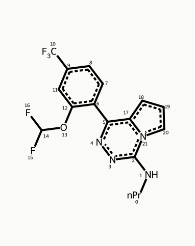 CCCNc1nnc(-c2ccc(C(F)(F)F)cc2OC(F)F)c2cccn12